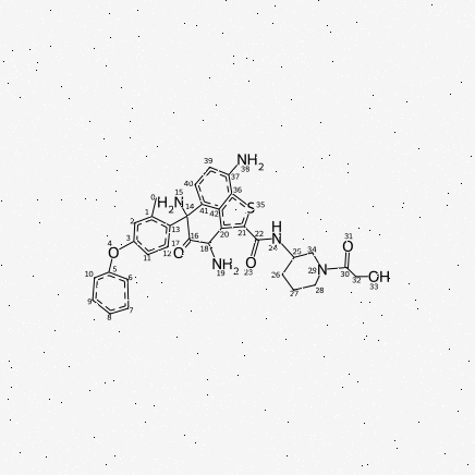 Cc1cc(Oc2ccccc2)ccc1C1(N)C(=O)C(N)c2c(C(=O)NC3CCCN(C(=O)CO)C3)sc3c(N)ccc1c23